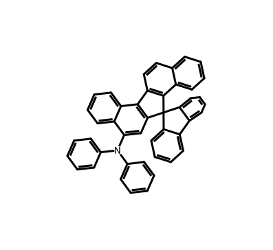 c1ccc(N(c2ccccc2)c2cc3c(c4ccccc24)-c2ccc4ccccc4c2C32c3ccccc3-c3ccccc32)cc1